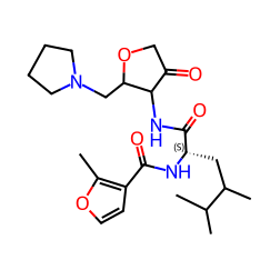 Cc1occc1C(=O)N[C@@H](CC(C)C(C)C)C(=O)NC1C(=O)COC1CN1CCCC1